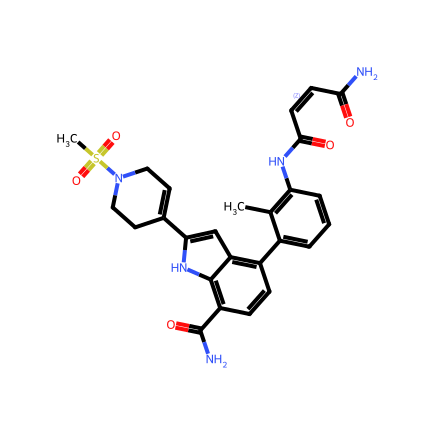 Cc1c(NC(=O)/C=C\C(N)=O)cccc1-c1ccc(C(N)=O)c2[nH]c(C3=CCN(S(C)(=O)=O)CC3)cc12